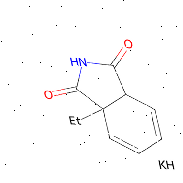 CCC12C=CC=CC1C(=O)NC2=O.[KH]